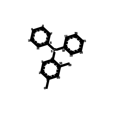 Cc1ccc(P(c2ccccc2)c2ccccc2)c(C)c1